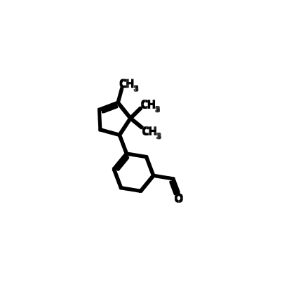 CC1=CCC(C2=CCCC(C=O)C2)C1(C)C